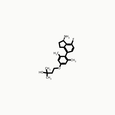 Cc1cc(OCCC(C)(C)O)cc(C)c1-c1ccc(F)c2c1CC[C@H]2N